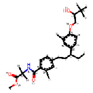 CCC(CCc1ccc(C(=O)NC(C)(C)C(=O)OC)c(C)c1)c1ccc(OCC(O)C(C)(C)C)c(C)c1